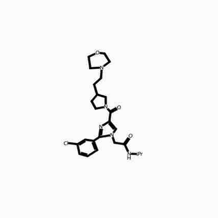 CC(C)NC(=O)Cn1cc(C(=O)N2CCC(CCN3CCOCC3)C2)nc1-c1cccc(Cl)c1